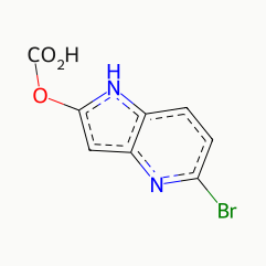 O=C(O)Oc1cc2nc(Br)ccc2[nH]1